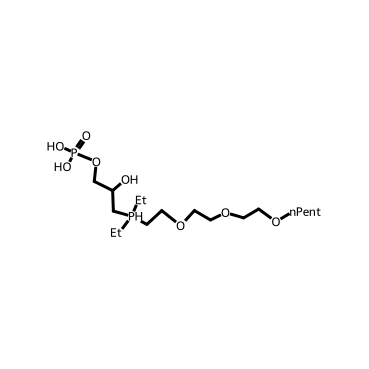 CCCCCOCCOCCOCC[PH](CC)(CC)CC(O)COP(=O)(O)O